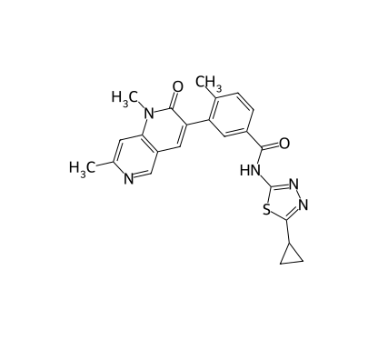 Cc1cc2c(cn1)cc(-c1cc(C(=O)Nc3nnc(C4CC4)s3)ccc1C)c(=O)n2C